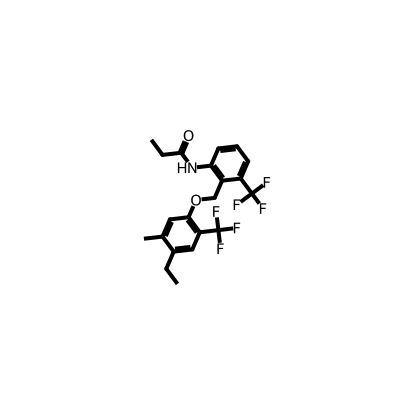 CCC(=O)Nc1cccc(C(F)(F)F)c1COc1cc(C)c(CC)cc1C(F)(F)F